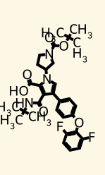 CC(C)(C)NC(=O)c1c(-c2ccc(Oc3c(F)cccc3F)cc2)cn(C2CCN(C(=O)OC(C)(C)C)C2)c1C(=O)O